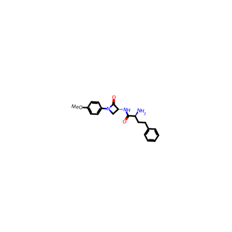 COc1ccc(N2C[C@@H](NC(=O)[C@@H](N)CCc3ccccc3)C2=O)cc1